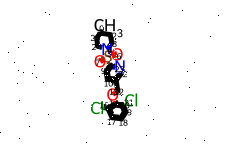 CC1CCN(S(=O)(=O)c2ccc(COc3c(Cl)cccc3Cl)cn2)CC1